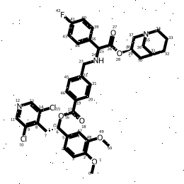 COc1ccc([C@H](Cc2c(Cl)cncc2Cl)OC(=O)c2ccc(CNC(C(=O)O[C@@H]3CC4CCCN(C4)C3)c3ccc(F)cc3)cc2)cc1OC